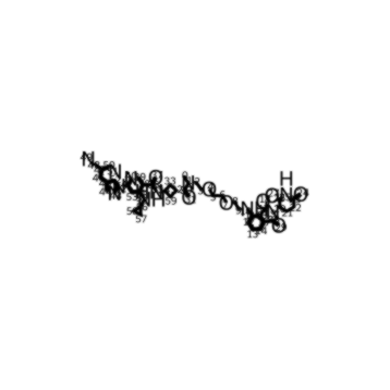 CN(CCOCCOCCNc1cccc2c1C(=O)N(C1CCC(=O)NC1=O)C2=O)C(=O)[C@H]1C[C@H](NC(=O)c2cnc(-n3ncc4cc(C#N)cnc43)cc2NC2CC2)C1